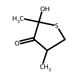 CC1CSC(C)(O)C1=O